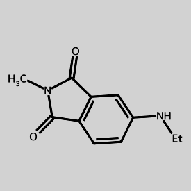 CCNc1ccc2c(c1)C(=O)N(C)C2=O